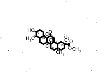 COC(=O)[C@@]1(C)CC[C@]2(C)CC[C@]3(C)C(=CC(=O)C4[C@@]5(C)CC[C@H](O)[C@H](C)C5CC[C@]43C)C2C1